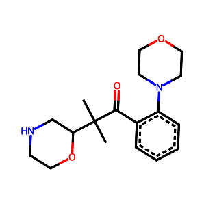 CC(C)(C(=O)c1ccccc1N1CCOCC1)C1CNCCO1